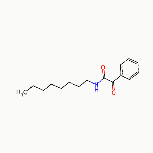 CCCCCCCCNC(=O)C(=O)c1ccccc1